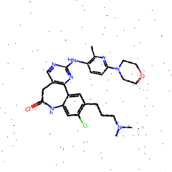 Cc1nc(N2CCOCC2)ccc1Nc1ncc2c(n1)-c1cc(CCCN(C)C)c(Cl)cc1NC(=O)C2